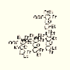 CCc1ccc2c(c1CC)Oc1c(CC)c(CC)c(CC)c(C(=O)[O-])c1C2.CCc1ccc2c(c1CC)Oc1c(CC)c(CC)c(CC)c(C(=O)[O-])c1C2.CCc1ccc2c(c1CC)Oc1c(CC)c(CC)c(CC)c(C(=O)[O-])c1C2.CCc1ccc2c(c1CC)Oc1c(CC)c(CC)c(CC)c(C(=O)[O-])c1C2.[Mo+4]